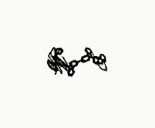 c1ccc(-c2nc(-c3ccccn3)nc(-n3c4ccccc4c4cc(-c5ccc6c(c5)c5ccccc5n6-c5ccc6oc7ccccc7c6c5)ccc43)n2)nc1